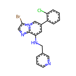 Clc1ccccc1-c1cc(NCc2cccnc2)c2ncc(Br)n2c1